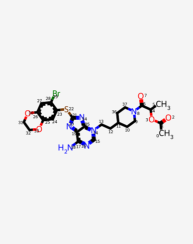 CC(=O)OC(C)C(=O)N1CCC(CCn2cnc(N)c3nc(Sc4cc5c(cc4Br)OCCO5)nc2-3)CC1